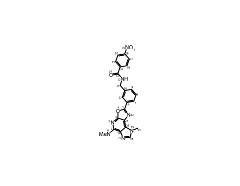 CNc1nc2oc(-c3cccc(CNC(=O)c4ccc([N+](=O)[O-])cc4)c3)nc2c2c1ncn2C